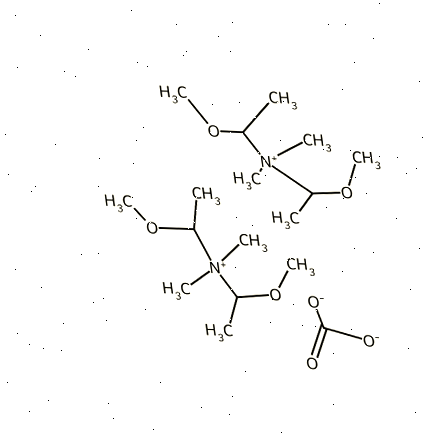 COC(C)[N+](C)(C)C(C)OC.COC(C)[N+](C)(C)C(C)OC.O=C([O-])[O-]